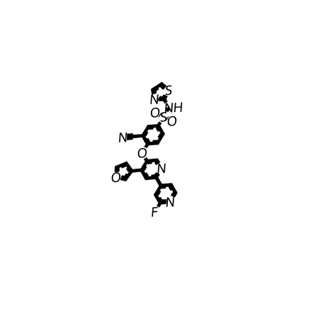 N#Cc1cc(S(=O)(=O)Nc2nccs2)ccc1Oc1cnc(-c2ccnc(F)c2)cc1-c1ccoc1